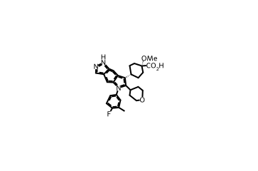 CO[C@]1(C(=O)O)CC[C@H](c2c(C3CCOCC3)n(-c3ccc(F)c(C)c3)c3cc4cn[nH]c4cc32)CC1